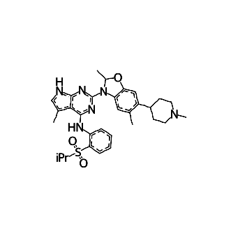 Cc1cc2c(cc1C1CCN(C)CC1)OC(C)N2c1nc(Nc2ccccc2S(=O)(=O)C(C)C)c2c(C)c[nH]c2n1